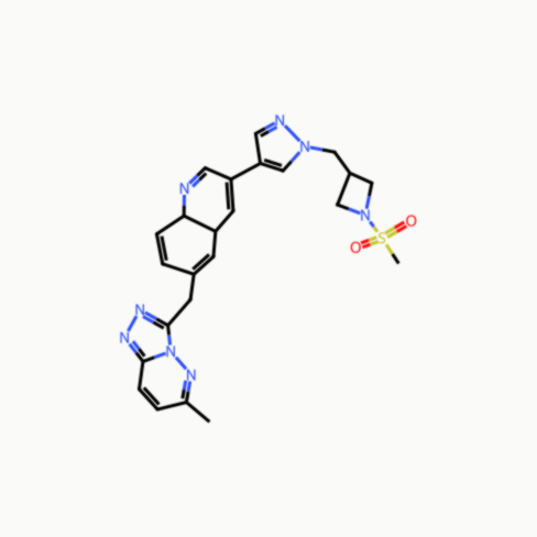 Cc1ccc2nnc(CC3=CC4C=C(c5cnn(CC6CN(S(C)(=O)=O)C6)c5)C=NC4C=C3)n2n1